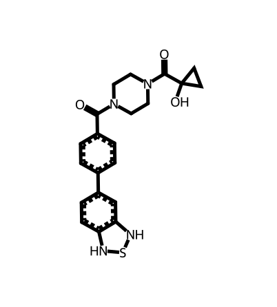 O=C(c1ccc(-c2ccc3c(c2)NSN3)cc1)N1CCN(C(=O)C2(O)CC2)CC1